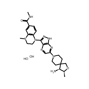 CNC(=O)c1ccc2c(c1)N(C)CCN2c1n[nH]c2nc(N3CCC4(CC3)CO[C@@H](C)[C@H]4N)cnc12.Cl.Cl